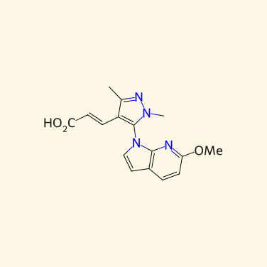 COc1ccc2ccn(-c3c(C=CC(=O)O)c(C)nn3C)c2n1